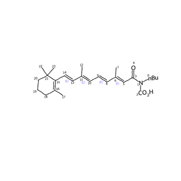 CCCCN(C(=O)O)C(=O)/C=C(C)/C=C/C=C(C)/C=C/C1=C(C)CCCC1(C)C